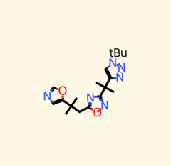 CC(C)(Cc1nc(C(C)(C)c2cn(C(C)(C)C)nn2)no1)c1cnco1